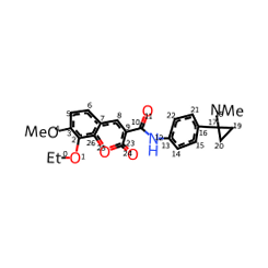 CCOc1c(OC)ccc2cc(C(=O)Nc3ccc(C4(NC)CC4)cc3)c(=O)oc12